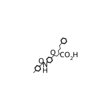 Cc1ccc(C(=O)Nc2ccc(C(=O)CC(CCCc3ccccc3)C(=O)O)cc2)cc1